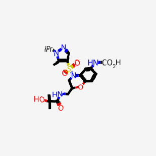 Cc1c(S(=O)(=O)N2CC(CNC(=O)C(C)(C)O)Oc3ccc(NC(=O)O)cc32)cnn1C(C)C